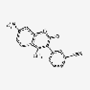 Cc1c(-c2cccc(C#N)c2)c(=O)oc2cc(N)ccc12